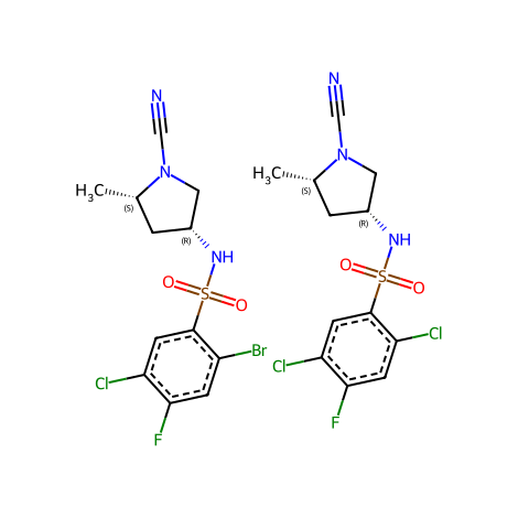 C[C@H]1C[C@@H](NS(=O)(=O)c2cc(Cl)c(F)cc2Br)CN1C#N.C[C@H]1C[C@@H](NS(=O)(=O)c2cc(Cl)c(F)cc2Cl)CN1C#N